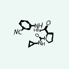 N#Cc1cccc(NNC(=O)C2CCCN2C(=O)NC2CC2)c1